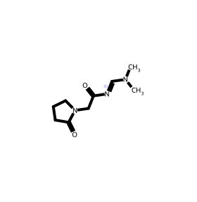 CN(C)/C=N/C(=O)CN1CCCC1=O